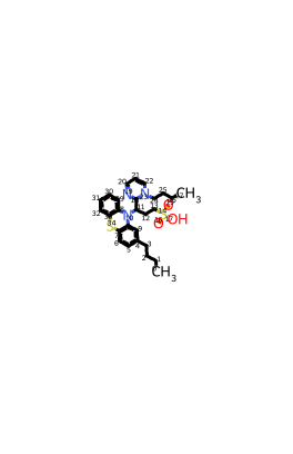 CCCCc1ccc2c(c1)N(C(CCS(=O)(=O)O)C1N=CC=CN1CCCC)c1ccccc1S2